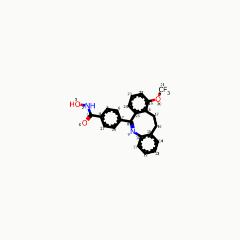 O=C(NO)c1ccc(/C2=N/c3ccccc3CCc3c(OC(F)(F)F)cccc32)cc1